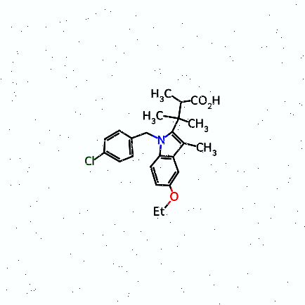 CCOc1ccc2c(c1)c(C)c(C(C)(C)C(C)C(=O)O)n2Cc1ccc(Cl)cc1